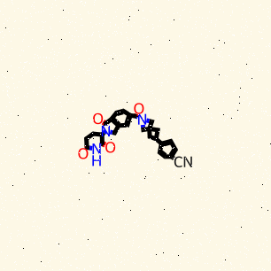 N#Cc1ccc(C2CC3(C2)CN(C(=O)c2ccc4c(c2)CN(C2CCC(=O)NC2=O)C4=O)C3)cc1